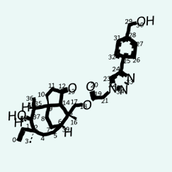 C=C[C@]1(C)CC[C@@H]2CC[C@]3(CCC(=O)C3[C@]2(C)COC(=O)Cn2cc(-c3ccc(CO)cc3)nn2)[C@@H](C)[C@@H]1O